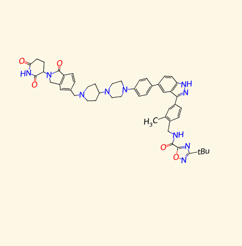 Cc1cc(-c2n[nH]c3ccc(-c4ccc(N5CCN(C6CCN(Cc7ccc8c(c7)CN(C7CCC(=O)NC7=O)C8=O)CC6)CC5)cc4)cc23)ccc1CNC(=O)c1nc(C(C)(C)C)no1